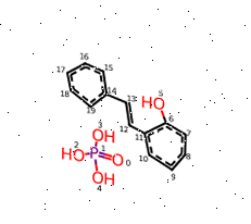 O=P(O)(O)O.Oc1ccccc1C=Cc1ccccc1